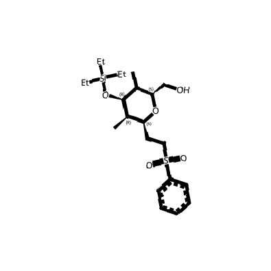 CC[Si](CC)(CC)O[C@H]1C(C)[C@@H](CO)O[C@@H](CCS(=O)(=O)c2ccccc2)[C@H]1C